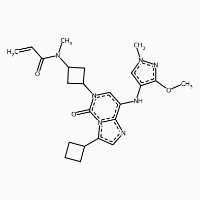 C=CC(=O)N(C)C1CC(n2cc(Nc3cn(C)nc3OC)c3ncc(C4CCC4)n3c2=O)C1